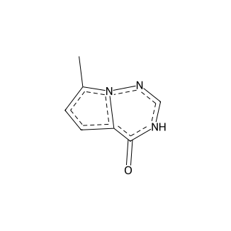 Cc1ccc2c(=O)[nH]cnn12